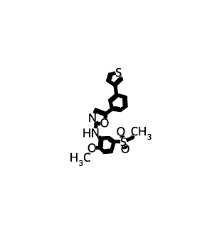 CCS(=O)(=O)c1ccc(OC)c(Nc2ncc(-c3cccc(-c4ccsc4)c3)o2)c1